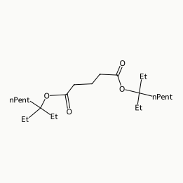 CCCCCC(CC)(CC)OC(=O)CCCC(=O)OC(CC)(CC)CCCCC